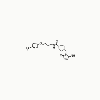 Cc1ccc(OCCCCNC(=O)C2CCC(CN3C(=N)C=CC3=O)CC2)cc1